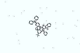 CC(C)(C)c1cc2c3c(c1)N(c1ccccc1)C1=C(B3c3ccc(N(c4ccccc4)c4ccccc4)cc3O2)C(C)(C)c2c1sc1ccccc21